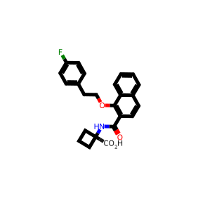 O=C(NC1(C(=O)O)CCC1)c1ccc2ccccc2c1OCCc1ccc(F)cc1